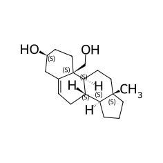 C[C@@]12CCC[C@H]1[C@@H]1CC=C3C[C@@H](O)CC[C@]3(CO)[C@H]1CC2